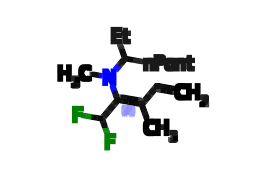 C=C/C(C)=C(/C(F)F)N(C)C(CC)CCCCC